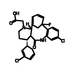 O=C(O)CN1CC[C@@H](C2C=C(Cl)C=CC2)C2C(=O)Nc3cc(Cl)ccc3C3(F)C=CC=C(C3)[C@H]21